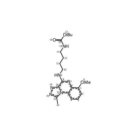 COc1cccc2c1nc(NCCCCNC(=O)OCC(C)C)c1nnc(C)n12